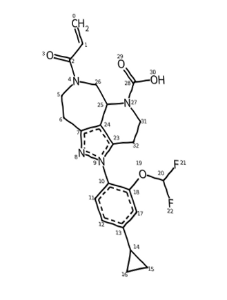 C=CC(=O)N1CCc2nn(-c3ccc(C4CC4)cc3OC(F)F)c3c2C(C1)N(C(=O)O)CC3